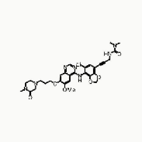 COc1cc2c(Nc3c(Cl)cc(C#CCNC(=O)N(C)C)c4c3OCO4)ncnc2cc1OCCCN1CCN(C)C(=O)C1